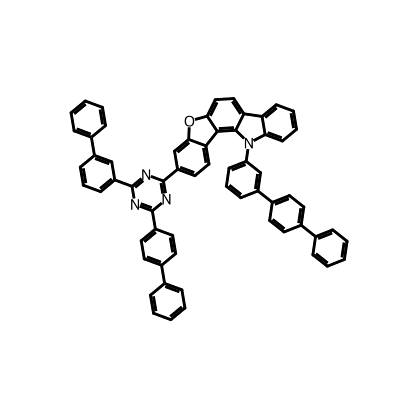 c1ccc(-c2ccc(-c3cccc(-n4c5ccccc5c5ccc6oc7cc(-c8nc(-c9ccc(-c%10ccccc%10)cc9)nc(-c9cccc(-c%10ccccc%10)c9)n8)ccc7c6c54)c3)cc2)cc1